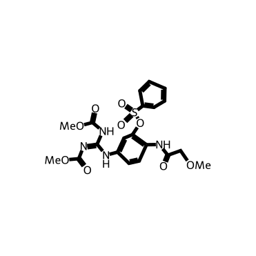 COCC(=O)Nc1ccc(NC(=NC(=O)OC)NC(=O)OC)cc1OS(=O)(=O)c1ccccc1